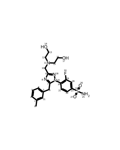 Cc1cccc(Cc2nc(CN(CCO)CCO)nn2-c2ccc(S(N)(=O)=O)cc2F)c1